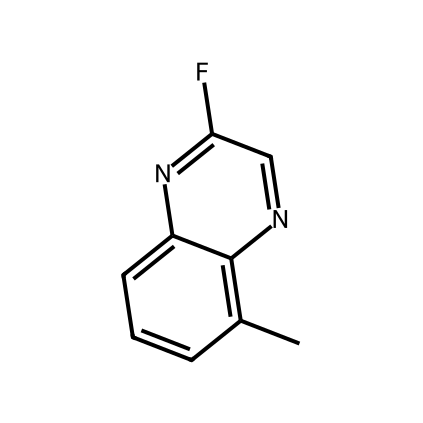 Cc1cccc2nc(F)cnc12